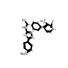 CCC(Nc1nnc(-c2ccc(OC)cc2)o1)[C@H]1CC[C@@H](c2ccnc(F)c2C)CC1